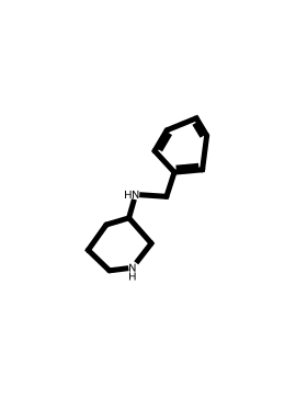 c1ccc(CNC2CCCNC2)cc1